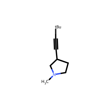 CN1CCC(C#CC(C)(C)C)C1